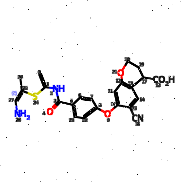 C=C(NC(=O)c1ccc(Oc2cc3c(cc2C#N)C(C(=O)O)CCO3)cc1)S/C(C)=C\N